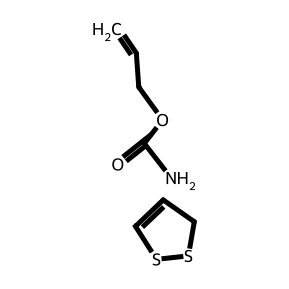 C1=CSSC1.C=CCOC(N)=O